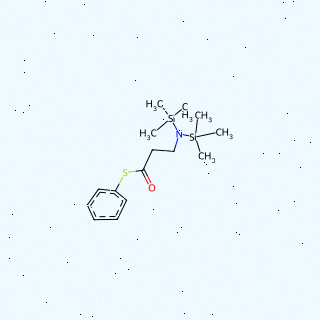 C[Si](C)(C)N(CCC(=O)Sc1ccccc1)[Si](C)(C)C